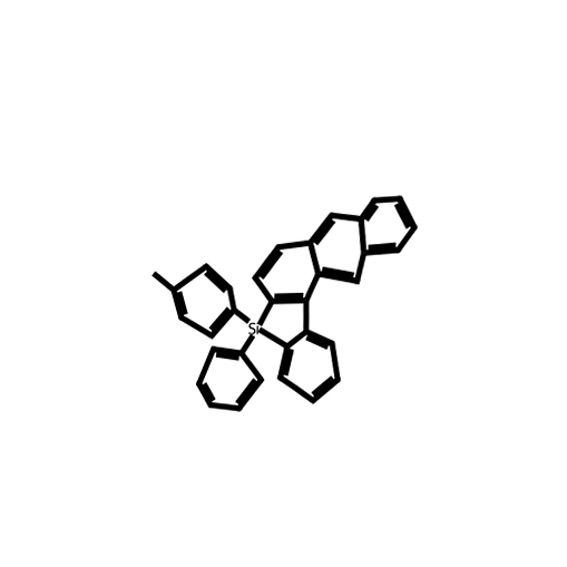 Cc1ccc([Si]2(c3ccccc3)c3ccccc3-c3c2ccc2cc4ccccc4cc32)cc1